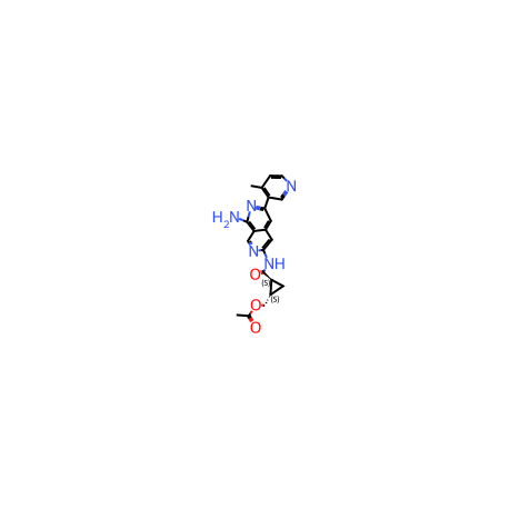 CC(=O)OC[C@H]1C[C@@H]1C(=O)Nc1cc2cc(-c3cnccc3C)nc(N)c2cn1